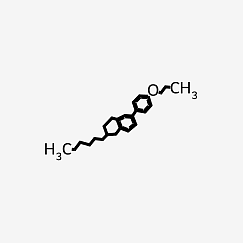 CCCCCCC1CCc2cc(-c3ccc(OCCC)cc3)ccc2C1